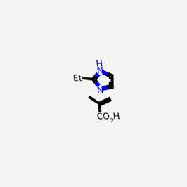 C=C(C)C(=O)O.CCc1ncc[nH]1